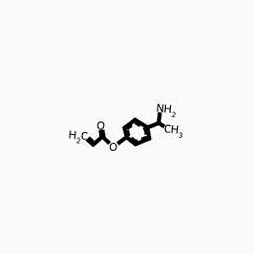 C=CC(=O)Oc1ccc(C(C)N)cc1